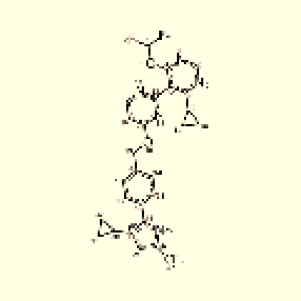 FC(F)Oc1ncnc(C2CC2)c1-c1nccc(OCc2ccc(-c3nc(C(F)(F)F)cn3C3CC3)cc2)n1